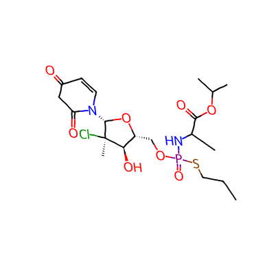 CCCSP(=O)(NC(C)C(=O)OC(C)C)OC[C@H]1O[C@@H](N2C=CC(=O)CC2=O)[C@](C)(Cl)[C@@H]1O